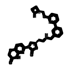 O=C1COc2ccc(N3C[C@H](CCNCc4cccc(-c5cccc(OC[C@@H]6CCN6)n5)c4)OC3=O)nc2N1